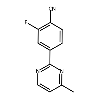 Cc1ccnc(-c2ccc(C#N)c(F)c2)n1